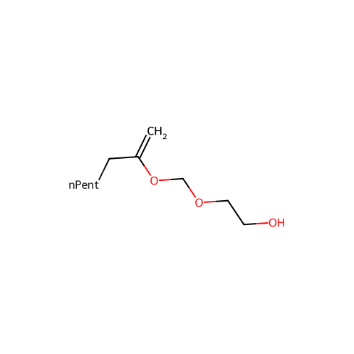 C=C(CCCCCC)OCOCCO